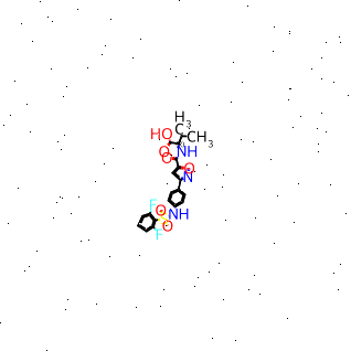 CC(C)[C@@H](NC(=O)c1cc(-c2ccc(NS(=O)(=O)c3c(F)cccc3F)cc2)no1)C(=O)O